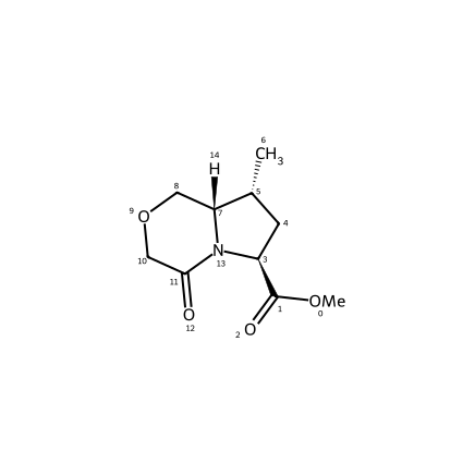 COC(=O)[C@@H]1C[C@@H](C)[C@H]2COCC(=O)N21